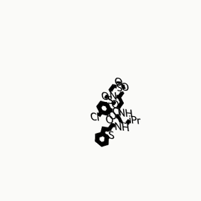 CC(C)C[C@H](NC(=O)c1cc2ccccc2s1)C(=O)NCCC1CS(=O)(=O)CCN1S(=O)(=O)c1ccc(Cl)cc1Cl